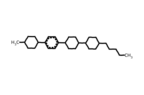 CCCCCC1CCC(C2CCC(c3ccc(C4CCC(C)CC4)cc3)CC2)CC1